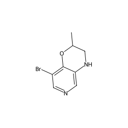 CC1CNc2cncc(Br)c2O1